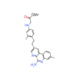 COC(=O)CNc1ccc(CCc2cnc3c(N)nc4cc(C)ccc4c3c2)c(C)c1